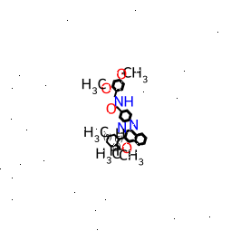 COc1ccc(CNC(=O)c2ccc3nc4c(nc3c2)c2c(c3ccccc34)OC(C)(C)[C@H]3CC[C@H](C)C[C@H]23)c(OC)c1